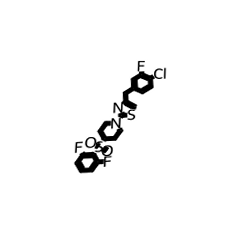 O=S(=O)(c1c(F)cccc1F)C1CCN(c2nc(Cc3ccc(Cl)c(F)c3)cs2)CC1